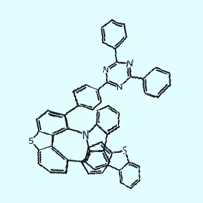 c1ccc(-c2nc(-c3ccccc3)nc(-c3ccc(-c4ccc5sc6cccc(-c7ccc8sc9ccccc9c8c7)c6c5c4-n4c5ccccc5c5ccccc54)cc3)n2)cc1